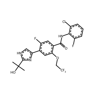 CC(C)(O)c1nc(-c2cc(OCC(F)(F)F)c(C(=O)Nc3c(F)cccc3Cl)cc2F)c[nH]1